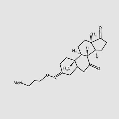 CNCCCON=C1CC[C@@]2(C)C(CC(=O)[C@@H]3[C@@H]2CC[C@]2(C)C(=O)CC[C@@H]32)C1